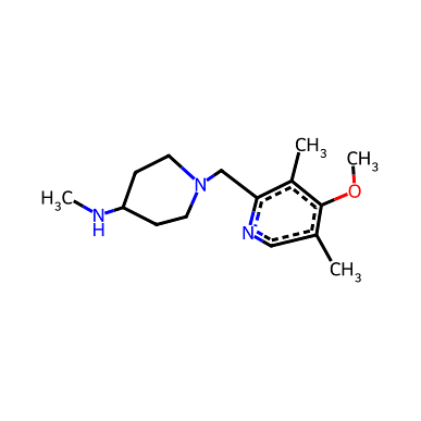 CNC1CCN(Cc2ncc(C)c(OC)c2C)CC1